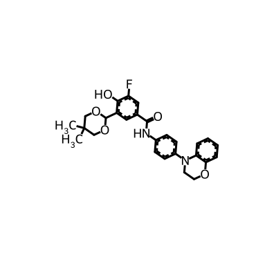 CC1(C)COC(c2cc(C(=O)Nc3ccc(N4CCOc5ccccc54)cc3)cc(F)c2O)OC1